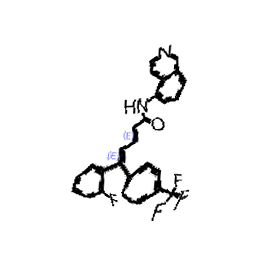 O=C(/C=C/C=C(\c1ccc(C(F)(F)F)cc1)c1ccccc1F)Nc1cccc2cnccc12